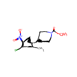 Cc1cc(F)c([N+](=O)[O-])cc1C1=CCN(C(=O)O)CC1